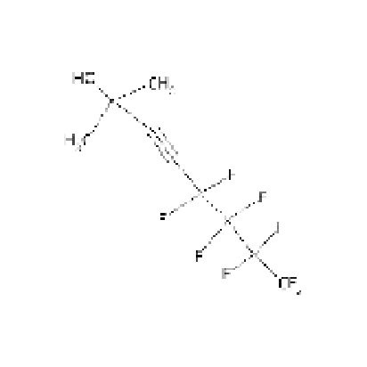 CC(C)(O)C#CC(F)(F)C(F)(F)C(F)(F)C(F)(F)F